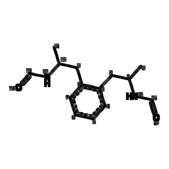 CC(Cc1ccccc1CC(C)NC=O)NC=O